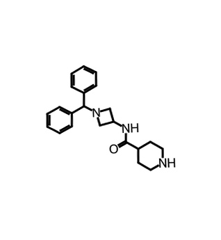 O=C(NC1CN(C(c2ccccc2)c2ccccc2)C1)C1CCNCC1